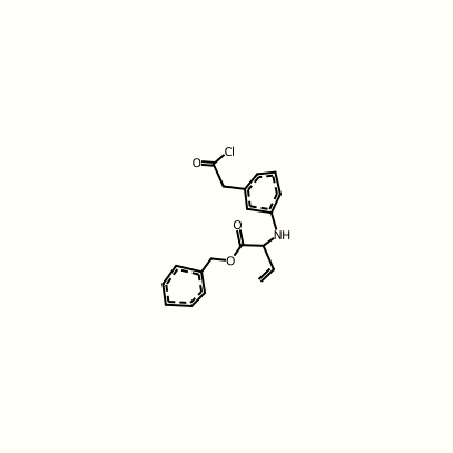 C=CC(Nc1cccc(CC(=O)Cl)c1)C(=O)OCc1ccccc1